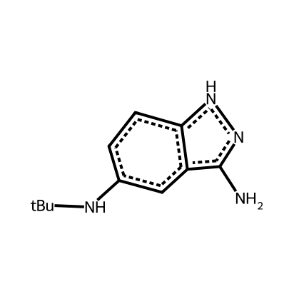 CC(C)(C)Nc1ccc2[nH]nc(N)c2c1